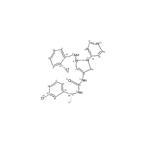 C[C@@H](NC(=O)NC1=CN(Nc2ccccc2Cl)N(c2ccncn2)C1)c1cccc(Cl)c1